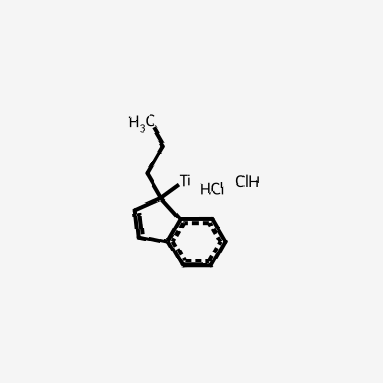 CCC[C]1([Ti])C=Cc2ccccc21.Cl.Cl